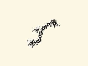 Cc1ccc(C(=O)N2CCC3(CC2)CC(N2CCN(c4cnc(-c5ccc6cn(C7CCC(CNC(=O)c8cc(F)c(O)c(F)c8F)CC7)nc6c5)cn4)CC2)CO3)cc1N1CCC(=O)NC1=O.O=C(O)C(F)(F)F